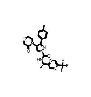 Cc1ccc(C2=NN(C(=O)N[C@H](C)c3cnc(C(F)(F)F)cn3)CC2N2CCOCC2=O)cc1